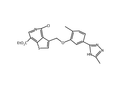 CCOC(=O)c1cnc(Cl)c2c(COc3cc(-c4nnc(C)[nH]4)ccc3C)csc12